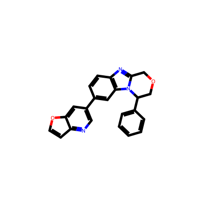 c1ccc(C2COCc3nc4ccc(-c5cnc6ccoc6c5)cc4n32)cc1